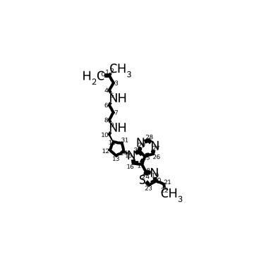 C=C(C)CCNCCCNC[C@@H]1CC[C@H](n2cc(-c3nc(CC)cs3)c3cncnc32)C1